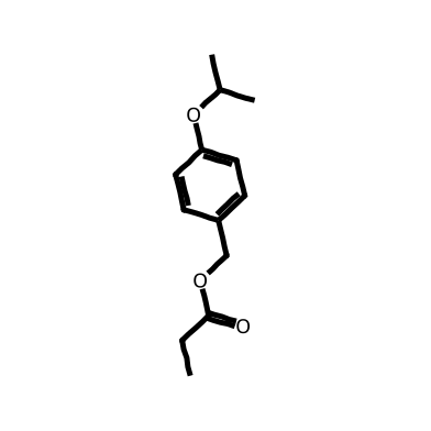 CCC(=O)OCc1ccc(OC(C)C)cc1